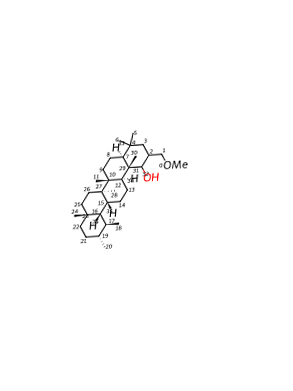 COCC1CC(C)(C)[C@@H]2CC[C@]3(C)[C@H](CC[C@@H]4[C@@H]5[C@@H](C)[C@H](C)CC[C@]5(C)CC[C@]43C)[C@@]2(C)C1O